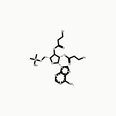 CC(=O)CCC(=O)OC1[C@@H](CO[Si](C)(C)C(C)(C)C)O[C@@H](n2cnc3c(N)ncnc32)[C@H]1OC(=O)CCC(C)=O